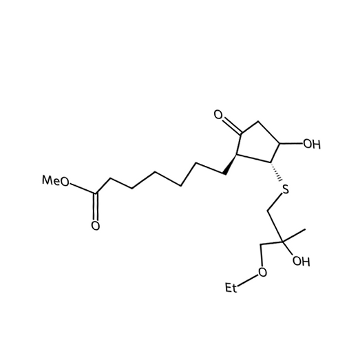 CCOCC(C)(O)CS[C@H]1C(O)CC(=O)[C@@H]1CCCCCCC(=O)OC